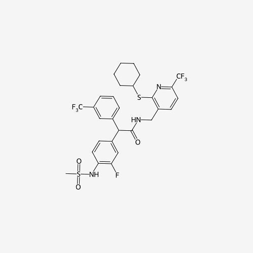 CS(=O)(=O)Nc1ccc(C(C(=O)NCc2ccc(C(F)(F)F)nc2SC2CCCCC2)c2cccc(C(F)(F)F)c2)cc1F